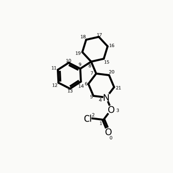 O=C(Cl)ON1CCC(C2(c3ccccc3)CCCCC2)CC1